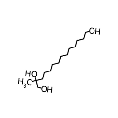 CC(O)(CO)CCCCCCCCCCCCO